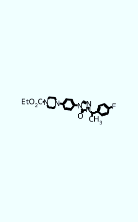 CCOC(=O)N1CCN(c2ccc(-n3cnn(C(C)c4ccc(F)cc4)c3=O)cc2)CC1